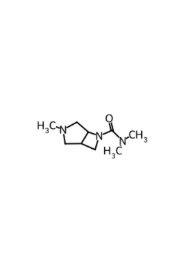 CN1CC2CN(C(=O)N(C)C)C2C1